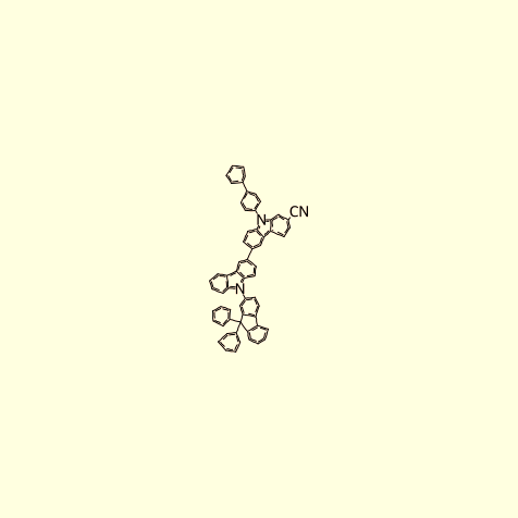 N#Cc1ccc2c3cc(-c4ccc5c(c4)c4ccccc4n5-c4ccc5c(c4)C(c4ccccc4)(c4ccccc4)c4ccccc4-5)ccc3n(-c3ccc(-c4ccccc4)cc3)c2c1